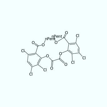 CCCCCOC(=O)c1c(Cl)cc(Cl)c(Cl)c1OC(=O)C(=O)Oc1c(Cl)c(Cl)cc(Cl)c1C(=O)OCCCCC